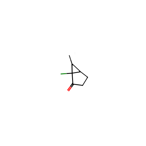 O=C(O)C1C2CCC(=O)C21F